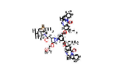 CCCOCCOCCN(CCCC(=O)N(C)CC(C)(C)S(C)=S)c1cc(COc2cc3c(cc2C)C(=O)N2c4ccccc4C[C@H]2C=N3)cc(COc2cc3c(cc2OC)C(=O)N2c4ccccc4C[C@H]2C=N3)c1